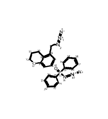 [N-]=[N+]=NCc1cccc2c1CCCO2.[N-]=[N+]=NP(=O)(c1ccccc1)c1ccccc1